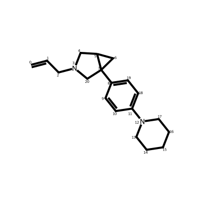 C=CCN1CC2CC2(c2ccc(N3CCCCC3)cc2)C1